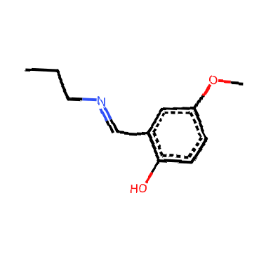 CCCN=Cc1cc(OC)ccc1O